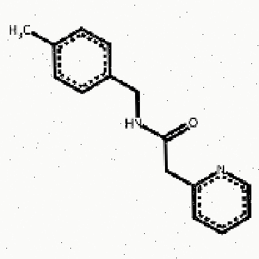 Cc1ccc(CNC(=O)Cc2ccccn2)cc1